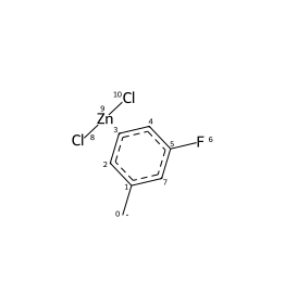 [CH2]c1cccc(F)c1.[Cl][Zn][Cl]